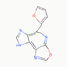 c1coc(-c2nc3ocnc3c3[nH]cnc23)c1